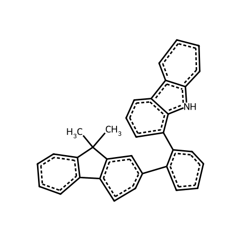 CC1(C)c2ccccc2-c2ccc(-c3ccccc3-c3cccc4c3[nH]c3ccccc34)cc21